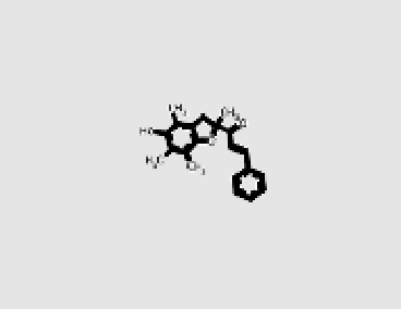 Cc1c(C)c2c(c(C)c1O)CC(C)(C(=O)/C=C/c1ccccc1)O2